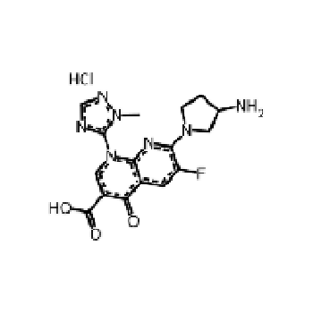 Cl.Cn1ncnc1-n1cc(C(=O)O)c(=O)c2cc(F)c(N3CCC(N)C3)nc21